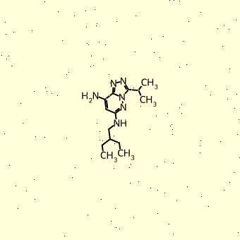 CCC(CC)CNc1cc(N)c2nnc(C(C)C)n2n1